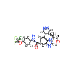 C[C@@H]1COCc2nc3cc(C(=O)Nc4ccc(OC(F)(F)Cl)cc4)cc(-c4ccnnc4)c3n21